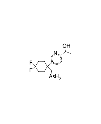 CC(O)c1ccc(C2(C[AsH2])CCC(F)(F)CC2)cn1